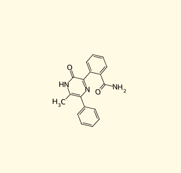 Cc1[nH]c(=O)c(-c2ccccc2C(N)=O)nc1-c1ccccc1